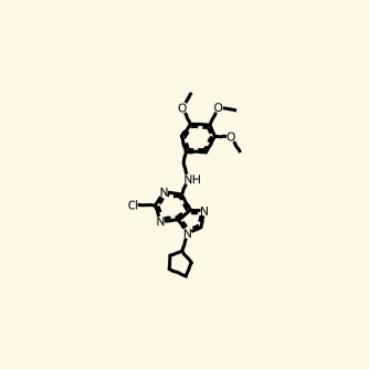 COc1cc(CNc2nc(Cl)nc3c2ncn3C2CCCC2)cc(OC)c1OC